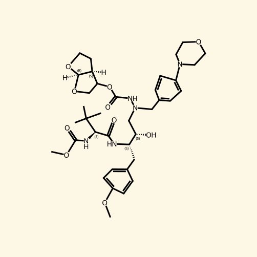 COC(=O)N[C@H](C(=O)N[C@@H](Cc1ccc(OC)cc1)[C@@H](O)CN(Cc1ccc(N2CCOCC2)cc1)NC(=O)OC1CO[C@H]2OCC[C@@H]12)C(C)(C)C